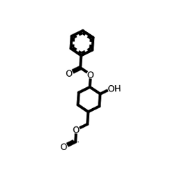 O=[C]OCC1CCC(OC(=O)c2ccccc2)C(O)C1